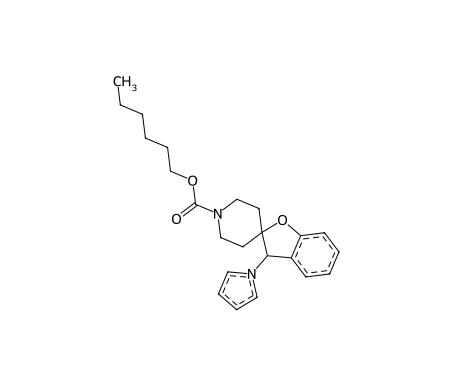 CCCCCCOC(=O)N1CCC2(CC1)Oc1ccccc1C2n1cccc1